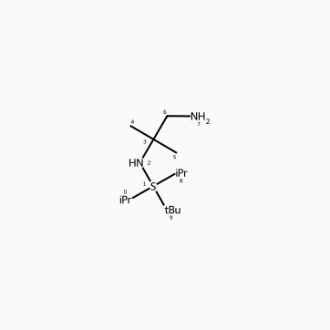 CC(C)S(NC(C)(C)CN)(C(C)C)C(C)(C)C